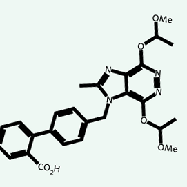 COC(C)Oc1nnc(OC(C)OC)c2c1nc(C)n2Cc1ccc(-c2ccccc2C(=O)O)cc1